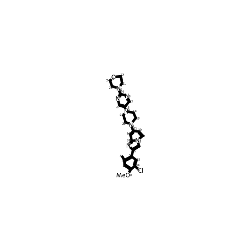 COc1cc(C)c(-c2cn3ccc(N4CCN(c5cnc(N6CCOCC6)nc5)CC4)cc3n2)cc1Cl